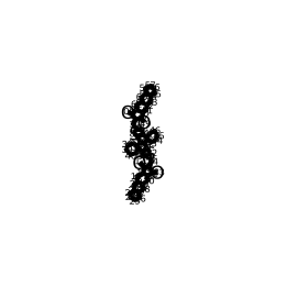 O=C1C(=Cc2cc3c(s2)C2=C(c4sc(C=C5C(=O)c6cc7cc8ccccc8cc7cc6C5=O)cc4C24CCCCC4)C32CCCCC2)C(=O)c2cc3cc4ccccc4cc3cc21